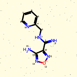 N=C(NCc1ccccn1)c1nonc1N